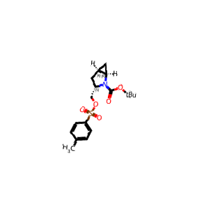 Cc1ccc(S(=O)(=O)OC[C@@H]2C[C@H]3C[C@H]3N2C(=O)OC(C)(C)C)cc1